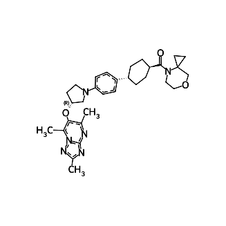 Cc1nc2nc(C)c(O[C@@H]3CCN(c4ccc([C@H]5CC[C@H](C(=O)N6CCOCC67CC7)CC5)cc4)C3)c(C)n2n1